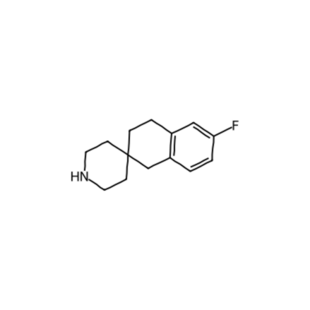 Fc1ccc2c(c1)CCC1(CCNCC1)C2